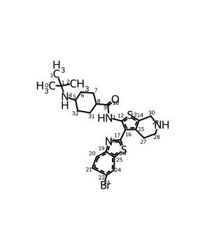 CC(C)(C)NC1CCC(C(=O)Nc2sc3c(c2-c2nc4ccc(Br)cc4s2)CCNC3)CC1